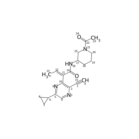 C#Cc1ncc(C2CC2)nc1/C(=C\C)C(=O)NC1CCCN(C(C)=O)C1